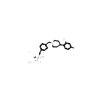 C[C@@H](NS(C)(=O)=O)c1ccc(CN2CCC(c3ccc(F)cc3F)CC2)cc1